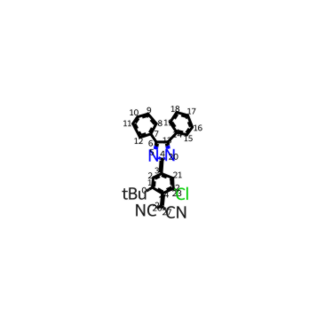 CC(C)(C)c1cc(=C2N=C(c3ccccc3)C(c3ccccc3)=N2)cc(Cl)c1=C(C#N)C#N